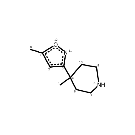 Cc1cc(C2(C)CCNCC2)no1